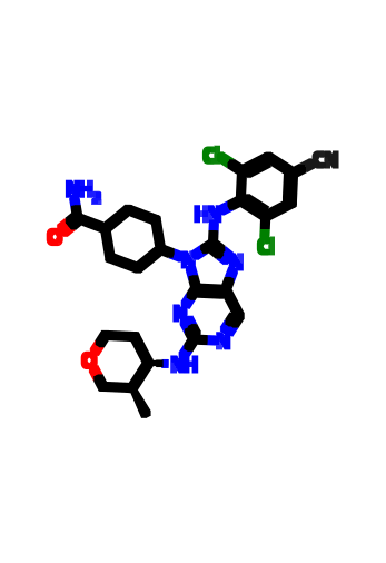 C[C@H]1COCC[C@@H]1Nc1ncc2nc(Nc3c(Cl)cc(C#N)cc3Cl)n(C3CCC(C(N)=O)CC3)c2n1